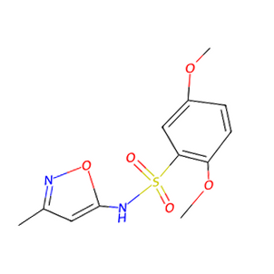 COc1ccc(OC)c(S(=O)(=O)Nc2cc(C)no2)c1